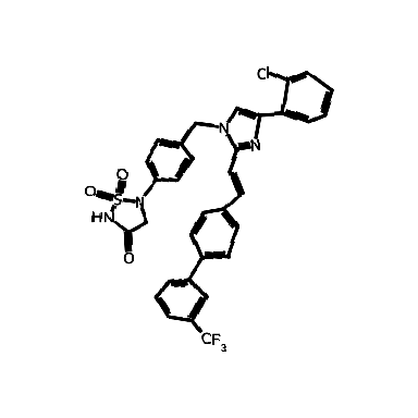 O=C1CN(c2ccc(Cn3cc(-c4ccccc4Cl)nc3C=Cc3ccc(-c4cccc(C(F)(F)F)c4)cc3)cc2)S(=O)(=O)N1